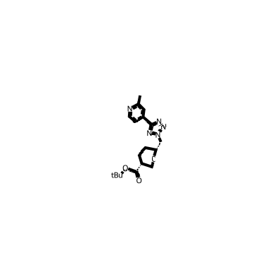 Cc1cc(-c2nnn(C[C@H]3CC[C@@H](C(=O)OC(C)(C)C)CC3)n2)ccn1